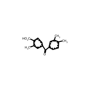 Cc1ccc(C(=O)c2ccc(C(=O)O)c(C)c2)cc1C